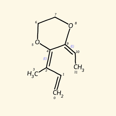 C=C/C(C)=C1/OCCO/C1=C/C